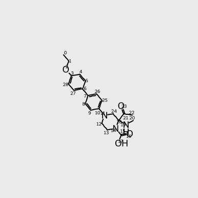 CCOc1ccc(-c2ccc(N3CCN(C(=O)O)C(NC)(C(C)=O)C3)cc2)cc1